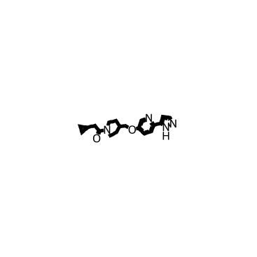 O=C(CC1CC1)N1CCC(COc2ccc(-c3ccn[nH]3)nc2)CC1